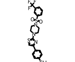 Cc1ccc(-c2csc(N3CCN(S(=O)(=O)c4cccc(C(F)(F)F)c4)CC3)n2)cc1